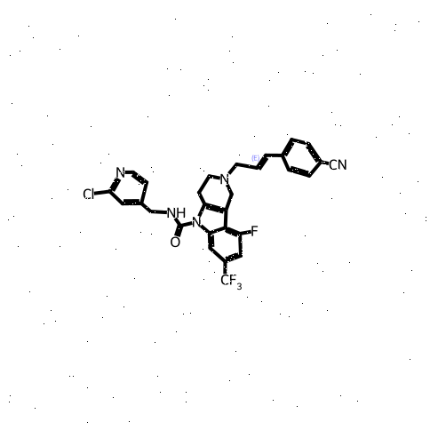 N#Cc1ccc(/C=C/CN2CCc3c(c4c(F)cc(C(F)(F)F)cc4n3C(=O)NCc3ccnc(Cl)c3)C2)cc1